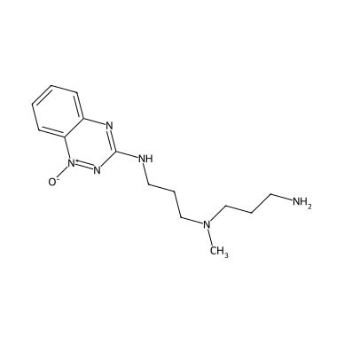 CN(CCCN)CCCNc1nc2ccccc2[n+]([O-])n1